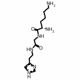 NCCCC[C@H](N)C(=O)NCC(=O)NCCc1c[nH]cn1